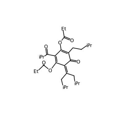 CCC(=O)OC1=C(CCC(C)C)C(=O)C(=C(CC(C)C)CC(C)C)C(OC(=O)CC)=C1C(=O)C(C)C